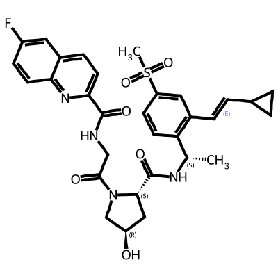 C[C@H](NC(=O)[C@@H]1C[C@@H](O)CN1C(=O)CNC(=O)c1ccc2cc(F)ccc2n1)c1ccc(S(C)(=O)=O)cc1/C=C/C1CC1